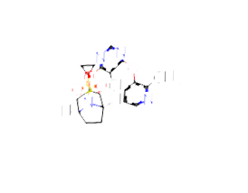 Cc1ncccc1Oc1ncnc(OC2C[C@@H]3CC[C@@H](C2)N3S(=O)(=O)C2CC2)c1C